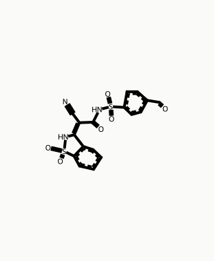 N#CC(C(=O)NS(=O)(=O)c1ccc(C=O)cc1)=C1NS(=O)(=O)c2ccccc21